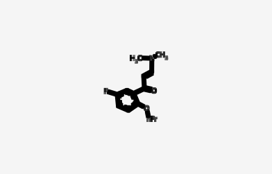 CCCOc1ccc(F)cc1C(=O)C=CN(C)C